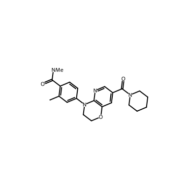 CNC(=O)c1ccc(N2CCOc3cc(C(=O)N4CCCCC4)cnc32)cc1C